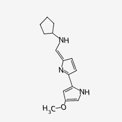 COc1c[nH]c(C2=N/C(=C/NC3CCCC3)C=C2)c1